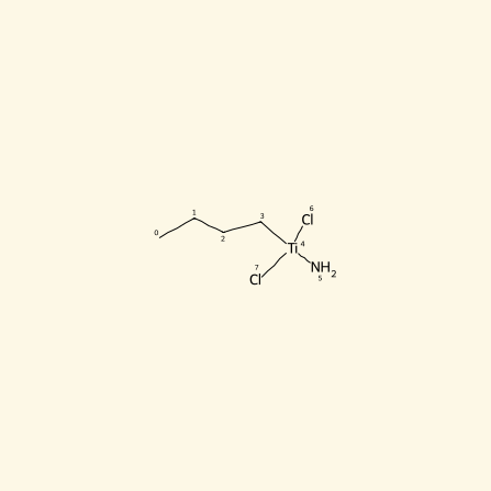 CCC[CH2][Ti]([NH2])([Cl])[Cl]